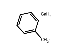 [CH2]c1ccccc1.[GaH3]